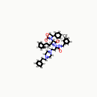 O=C[C@H](CC(C(=O)NCc1cccc(C(F)(F)F)c1)N1C(=O)C(N2C(=O)OC[C@@H]2c2ccccc2)C1C=Cc1ccccc1)N1CCN(CCc2ccccc2)CC1